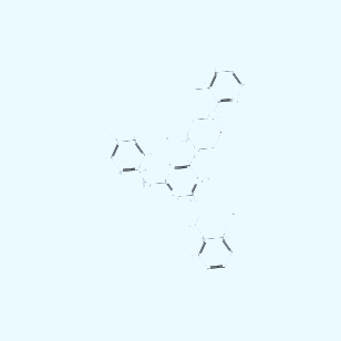 C[C@@H]1CN(c2ncccc2F)CCN1c1nc(Nc2ccc(C(C)(C)C)cc2)nc(OCc2ccccc2C(F)(F)F)n1